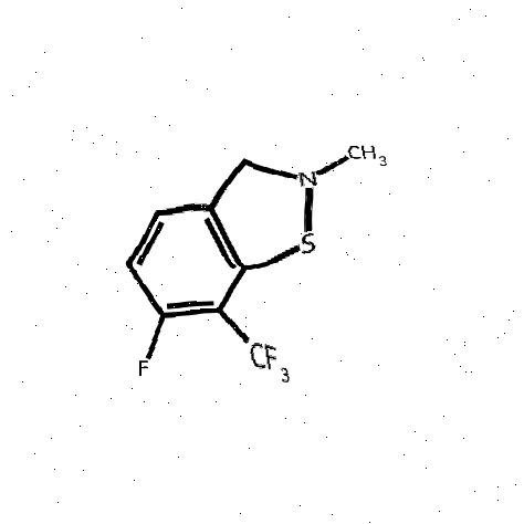 CN1Cc2ccc(F)c(C(F)(F)F)c2S1